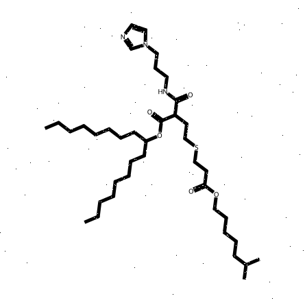 CCCCCCCCC(CCCCCCCC)OC(=O)C(CCSCCC(=O)OCCCCCC(C)C)C(=O)NCCCn1ccnc1